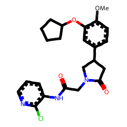 COc1ccc(C2CC(=O)N(CC(=O)Nc3cccnc3Cl)C2)cc1OC1CCCC1